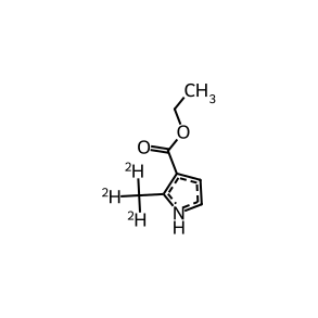 [2H]C([2H])([2H])c1[nH]ccc1C(=O)OCC